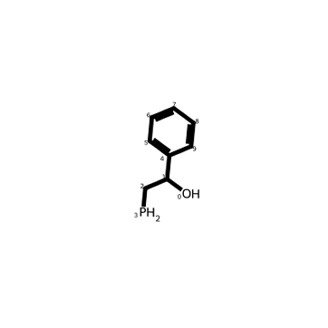 OC(CP)c1ccccc1